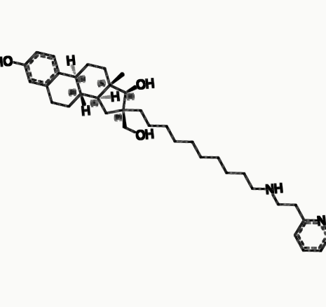 C[C@]12CC[C@@H]3c4ccc(O)cc4CC[C@H]3[C@@H]1C[C@@](CO)(CCCCCCCCCCNCCc1ccccn1)[C@@H]2O